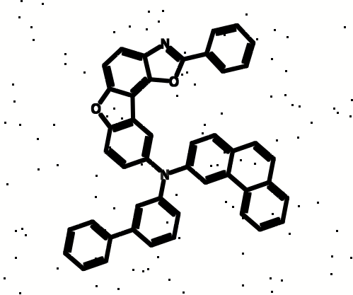 c1ccc(-c2cccc(N(c3ccc4ccc5ccccc5c4c3)c3ccc4oc5ccc6nc(-c7ccccc7)oc6c5c4c3)c2)cc1